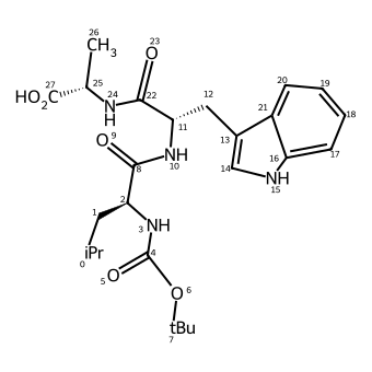 CC(C)C[C@H](NC(=O)OC(C)(C)C)C(=O)N[C@@H](Cc1c[nH]c2ccccc12)C(=O)N[C@@H](C)C(=O)O